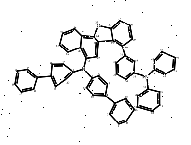 c1ccc(-c2ccc(N(c3ccc(-c4ccccc4)cc3)c3cc4c(oc5cccc(-c6cccc(N(c7ccccc7)c7ccccc7)c6)c54)c4ccccc34)cc2)cc1